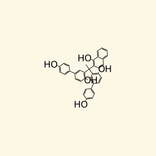 CC(c1cc(-c2ccc(O)cc2)ccc1O)(c1cc(-c2ccc(O)cc2)ccc1O)c1ccc2ccccc2c1O